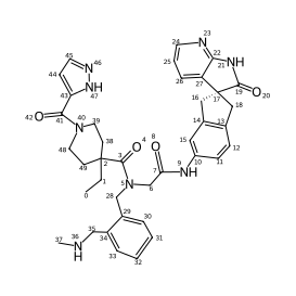 CCC1(C(=O)N(CC(=O)Nc2ccc3c(c2)C[C@@]2(C3)C(=O)Nc3ncccc32)Cc2ccccc2CNC)CCN(C(=O)c2ccn[nH]2)CC1